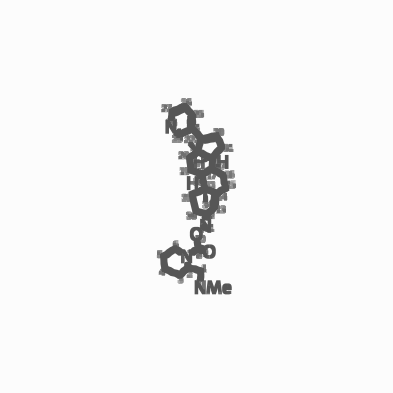 CNCC1CCCCN1C(=O)ON=C1C=C2CC[C@H]3[C@H](CC[C@]4(C)C(c5cccnc5)=CC[C@@H]34)[C@@]2(C)CC1